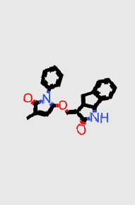 CC1=CC(O/C=C2/C(=O)NC3c4ccccc4CC23)N(c2ccccc2)C1=O